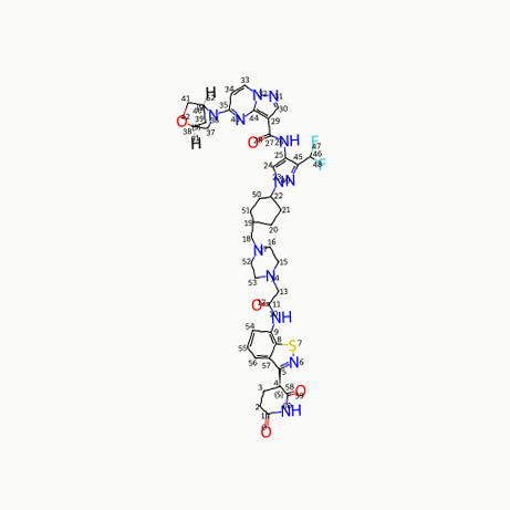 O=C1CC[C@@H](c2nsc3c(NC(=O)CN4CCN(CC5CCC(n6cc(NC(=O)c7cnn8ccc(N9C[C@@H]%10C[C@H]9CO%10)nc78)c(C(F)F)n6)CC5)CC4)cccc23)C(=O)N1